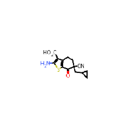 N#CC1(CC2CC2)CCc2c(sc(N)c2C(=O)O)C1=O